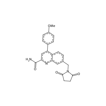 COc1ccc(-c2cc(C(N)=O)nc3cc(CN4C(=O)CCC4=O)ccc23)cc1